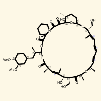 CO[C@@H]1CC[C@@H](C[C@@H](C)[C@@H]2CC(=O)[C@H](C)/C=C(\C)[C@@H](O)[C@@H](CO)C(=O)[C@H](C)C[C@H](C)/C=C/C=C/C=C(\C)[C@@H](CO)C[C@@H]3CC[C@@H](C)[C@@](O)(O3)C(=O)C(=O)N3CCCC[C@H]3C(=O)O2)C[C@H]1OC